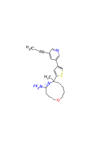 CC#Cc1cncc(-c2csc(C3(C)CCCCOCCC/C(N)=N\3)c2)c1